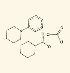 O=C(Cl)Cl.[O]C(=O)C1CCCCC1.c1ccc(N2CCCCC2)cc1